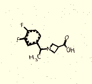 CC(c1ccc(F)c(F)c1)N1CC(C(=O)O)C1